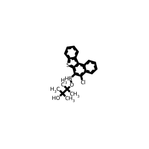 CC(C)(O)C(C)(C)OBc1c(Cl)c2ccccc2c2c1sc1ccccc12